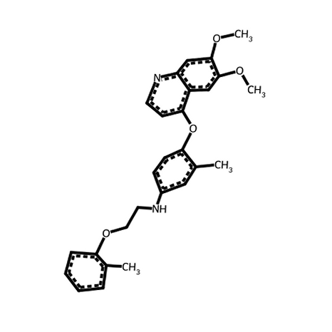 COc1cc2nccc(Oc3ccc(NCCOc4ccccc4C)cc3C)c2cc1OC